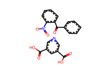 O=C(O)c1cncc(C(=O)O)c1.O=C(c1ccccc1)c1ccccc1[N+](=O)[O-]